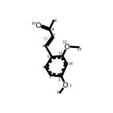 COc1ccc(/C=C/C(C)=O)c(OC)c1